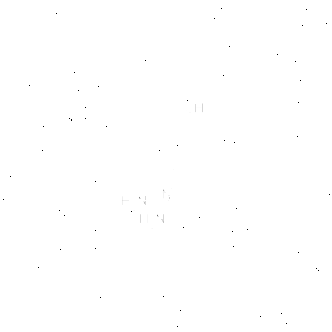 CCCCCCCCCCCCCCN(CCCN)CCCN